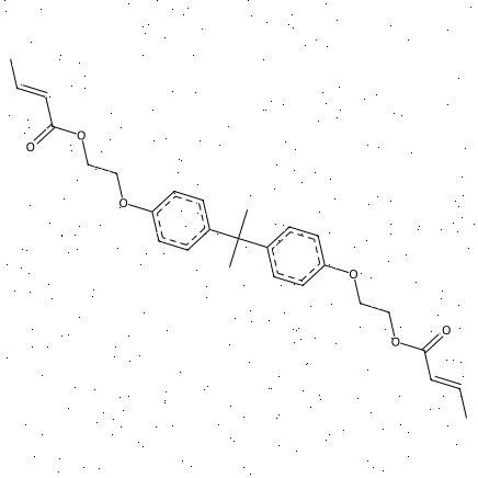 CC=CC(=O)OCCOc1ccc(C(C)(C)c2ccc(OCCOC(=O)C=CC)cc2)cc1